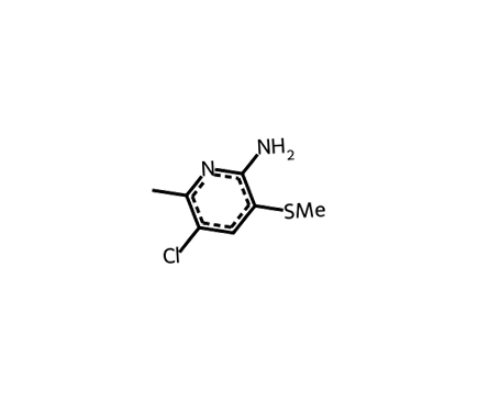 CSc1cc(Cl)c(C)nc1N